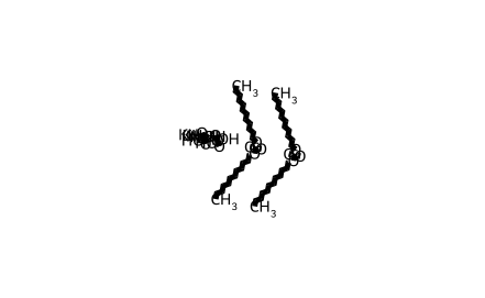 CCCCCCCCCCCCOS(=O)(=O)OCCCCCCCCCCCC.CCCCCCCCCCCCOS(=O)(=O)OCCCCCCCCCCCC.O=S(=O)(O)O.O=S(=O)(O)O.[KH].[KH].[NaH].[NaH]